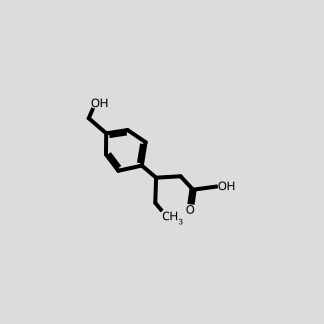 CCC(CC(=O)O)c1ccc(CO)cc1